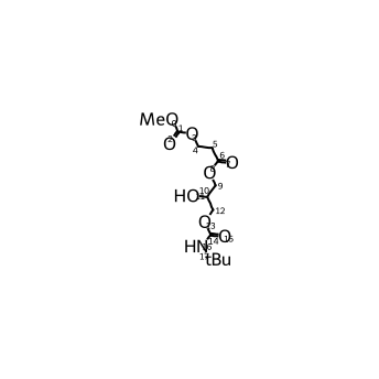 COC(=O)OCCC(=O)OCC(O)COC(=O)NC(C)(C)C